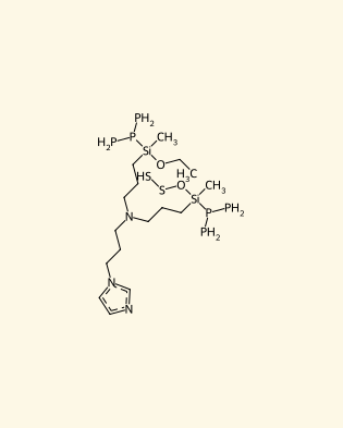 CCO[Si](C)(CCCN(CCCn1ccnc1)CCC[Si](C)(OSS)P(P)P)P(P)P